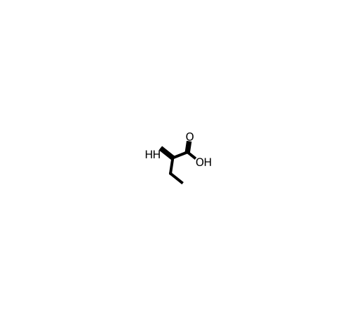 C=C(CC)C(=O)O.[HH]